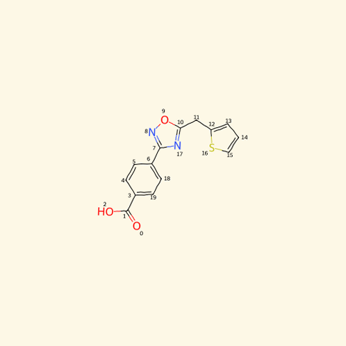 O=C(O)c1ccc(-c2noc(Cc3cccs3)n2)cc1